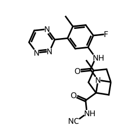 Cc1cc(F)c(NC(=O)N2C3CC(C)CC2(C(=O)NC#N)C3)cc1-c1nccnn1